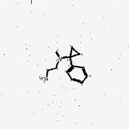 CN(CCN)C1(c2ccccc2)CC1